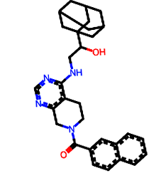 O=C(c1ccc2ccccc2c1)N1CCc2c(ncnc2NCC(O)C23CC4CC(CC(C4)C2)C3)C1